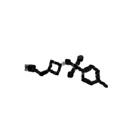 Cc1ccc(S(=O)(=O)O[C@H]2C[C@H](CO)C2)cc1